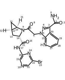 NC(=O)c1nn(CC(=O)N2[C@@H]3C[C@@H]3C[C@H]2C(=O)Nc2cncc(Br)n2)c2ncccc12